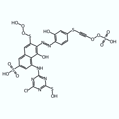 O=S(=O)(O)OOC#CSc1ccc(N=Nc2c(SOOO)cc3cc(S(=O)(=O)O)cc(Nc4nc(Cl)nc(SO)n4)c3c2O)c(O)c1